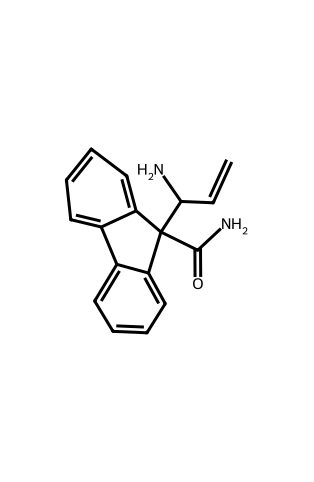 C=CC(N)C1(C(N)=O)c2ccccc2-c2ccccc21